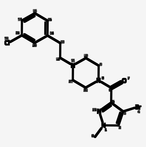 Cn1cc(Br)c(C(=O)N2CCN(CCc3cccc(Cl)c3)CC2)n1